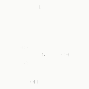 O=C(O)CN1C(O)c2ccc(I)cc2C1O